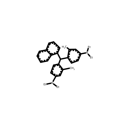 CCN(CC)c1ccc(C(c2ccc(N(CC)CC)cc2C)c2cccc3ccccc23)c(C)c1